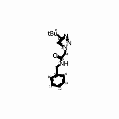 CC(C)(C)c1cn(CC(=O)NCc2ccccc2)nn1